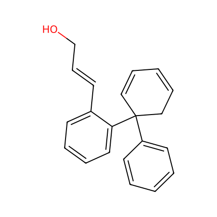 OCC=Cc1ccccc1C1(c2ccccc2)C=CC=CC1